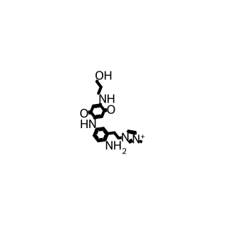 C[n+]1ccn(CCc2cc(NC3=CC(=O)C(NCCCO)=CC3=O)ccc2N)c1